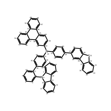 c1ccc(-n2c3ccccc3c3ccccc32)c(-c2ccc(N(c3ccc(-c4ccc5sc6ccccc6c5c4)cc3)c3ccc4c5ccccc5c5ccccc5c4c3)cc2)c1